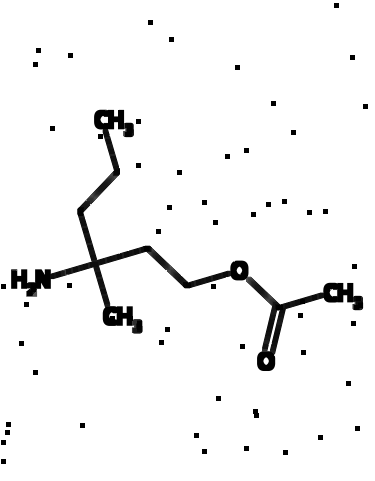 CCCC(C)(N)CCOC(C)=O